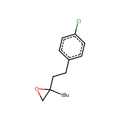 CC(C)(C)C1(CCc2ccc(Cl)cc2)CO1